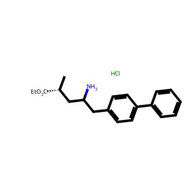 CCOC(=O)[C@H](C)CC(N)Cc1ccc(-c2ccccc2)cc1.Cl